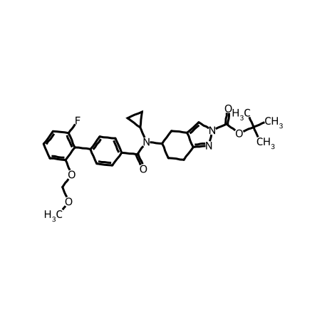 COCOc1cccc(F)c1-c1ccc(C(=O)N(C2CC2)C2CCc3nn(C(=O)OC(C)(C)C)cc3C2)cc1